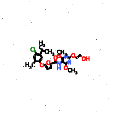 COc1nc(OCCO)nc(OC)c1NC(=O)c1ccc(Oc2cc(C(C)C)c(Cl)cc2C)o1